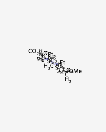 CCN1/C(=C/C(C)=c2/s/c(=C3\SC(=S)N(CC(=O)O)C3=O)n(CC)c2=O)Sc2ccc(C(C)OOC)cc21